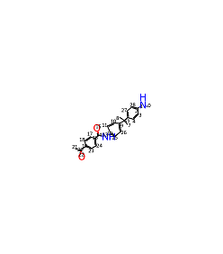 CNc1ccc(C(C)(C)c2ccc(NC(=O)c3ccc(C(C)=O)cc3)cc2)cc1